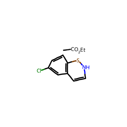 CCOC(C)=O.Clc1ccc2c(c1)C=CNS2